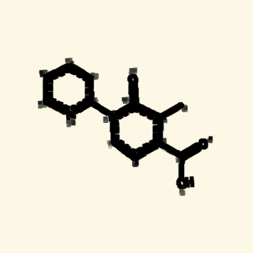 Cc1c(C(=O)O)ccn(-c2ccccn2)c1=O